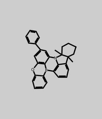 CC12CCCCC1(C)N1c3cc(-c4ccccc4)cc4c3B(c3ccccc3O4)c3cccc2c31